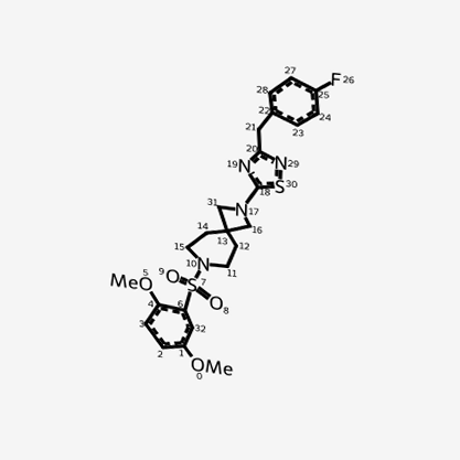 COc1ccc(OC)c(S(=O)(=O)N2CCC3(CC2)CN(c2nc(Cc4ccc(F)cc4)ns2)C3)c1